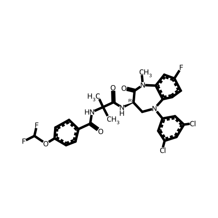 CN1C(=O)[C@H](NC(=O)C(C)(C)NC(=O)c2ccc(OC(F)F)cc2)CN(c2cc(Cl)cc(Cl)c2)c2ccc(F)cc21